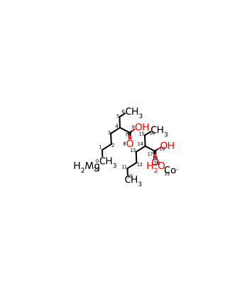 CCCCC(CC)C(=O)O.CCCCC(CC)C(=O)O.O.[Co].[MgH2]